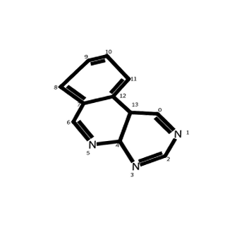 C1=NC=NC2N=Cc3ccccc3C12